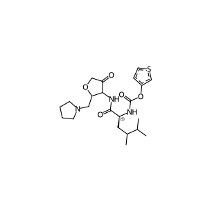 CC(C)C(C)C[C@H](NC(=O)Oc1ccsc1)C(=O)NC1C(=O)COC1CN1CCCC1